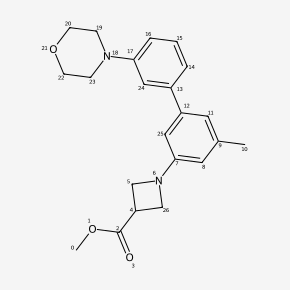 COC(=O)C1CN(c2cc(C)cc(-c3cccc(N4CCOCC4)c3)c2)C1